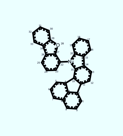 c1cc2c3c(cccc3c1)-c1c-2ccc2c3ccccc3n(-c3cccc4c3oc3ccccc34)c12